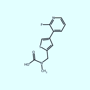 CN(Cc1cc(-c2cccnc2F)cs1)C(=O)O